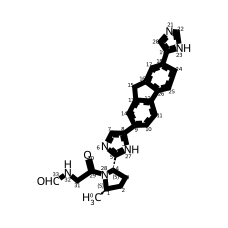 C[C@H]1CC[C@@H](c2ncc(-c3ccc4c(c3)Cc3cc(-c5cnc[nH]5)ccc3-4)[nH]2)N1C(=O)CNC=O